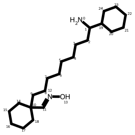 NC(CCCCCCCCC1(/C=N/O)CCCCC1)C1CCCCC1